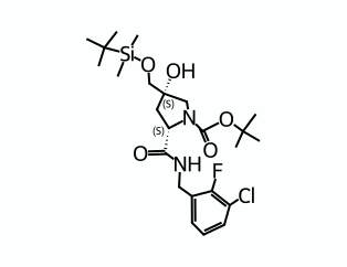 CC(C)(C)OC(=O)N1C[C@](O)(CO[Si](C)(C)C(C)(C)C)C[C@H]1C(=O)NCc1cccc(Cl)c1F